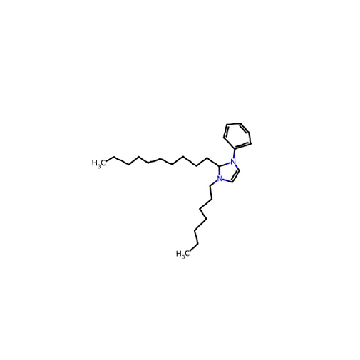 CCCCCCCCCCC1N(CCCCCCC)C=CN1c1ccccc1